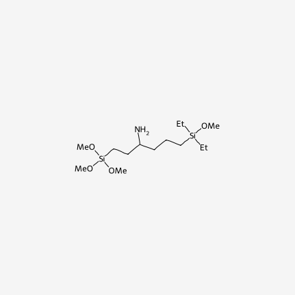 CC[Si](CC)(CCCC(N)CC[Si](OC)(OC)OC)OC